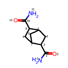 NC(=O)C1CC2CC1CC2C(N)=O